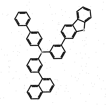 c1ccc(-c2ccc(N(c3cccc(-c4ccc5c(c4)sc4ccccc45)c3)c3cccc(-c4cccc5ccccc45)c3)cc2)cc1